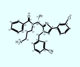 CC(C)[C@H](c1nc(-c2cccc(Cl)c2)cn1Cc1cccc(C#N)c1)N(CCCN)C(=O)c1ccccc1